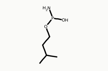 CC(C)CCOP(N)O